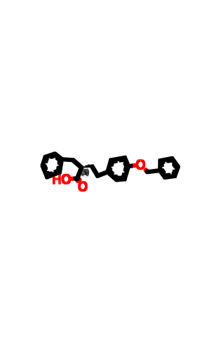 O=C(O)[C@@H](CCc1ccc(OCc2ccccc2)cc1)Cc1ccccc1